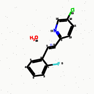 Fc1ccccc1/C=C/c1ccc(Cl)cn1.O